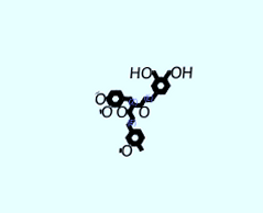 COc1cc(/C=C/C(=O)/C(=C\c2ccc(OC)c(OC)c2)C(=O)/C=C/c2ccc(CO)c(CO)c2)ccc1C